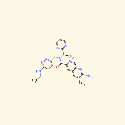 CCNc1ccc(CN(C(=O)c2cc3cc(C)c(N)nc3cn2)[C@H](C)c2ncccn2)nn1